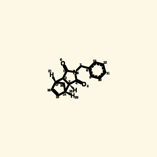 O=C1C2[C@@H](C(=O)N1Cc1ccccc1)[C@@H]1C=C[C@H]2C1